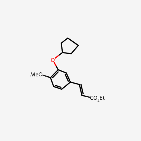 CCOC(=O)C=Cc1ccc(OC)c(OC2CCCC2)c1